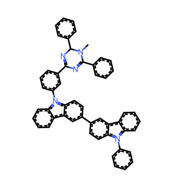 CN1C(c2ccccc2)=NC(c2cccc(-n3c4ccccc4c4cc(-c5ccc6c(c5)c5ccccc5n6-c5ccccc5)ccc43)c2)=NC1c1ccccc1